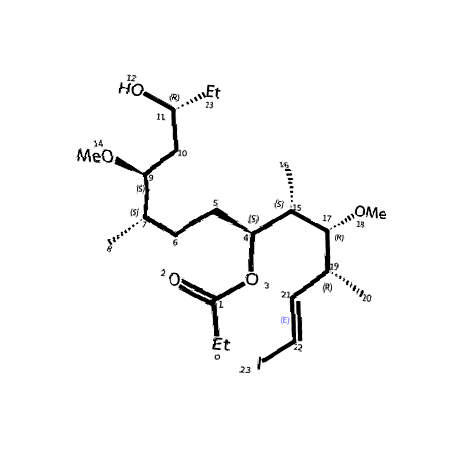 CCC(=O)O[C@@H](CC[C@H](C)[C@H](C[C@H](O)CC)OC)[C@H](C)[C@H](OC)[C@H](C)/C=C/I